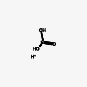 O=[Si](O)O.[H+]